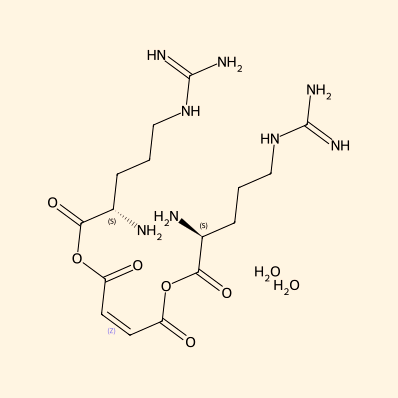 N=C(N)NCCC[C@H](N)C(=O)OC(=O)/C=C\C(=O)OC(=O)[C@@H](N)CCCNC(=N)N.O.O